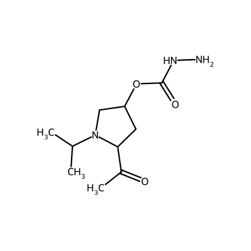 CC(=O)C1CC(OC(=O)NN)CN1C(C)C